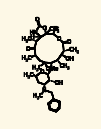 CC[C@H]1OC(=O)[C@H](C)[C@@H](O)[C@H](C)[C@@H](O[C@@H]2O[C@H](C)C[C@H](N(C)Cc3ccccc3)[C@H]2O)[C@@](C)(OC)C[C@@H](C)C(=O)[C@H](C)[C@H]2NC(=O)O[C@@]21C